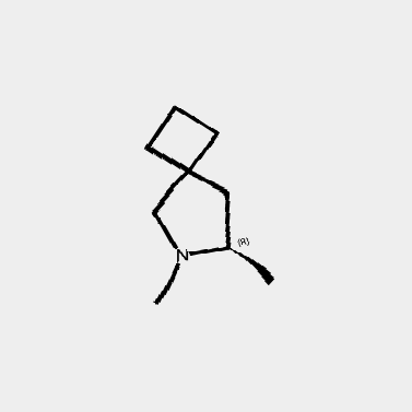 C[C@@H]1CC2(CCC2)CN1C